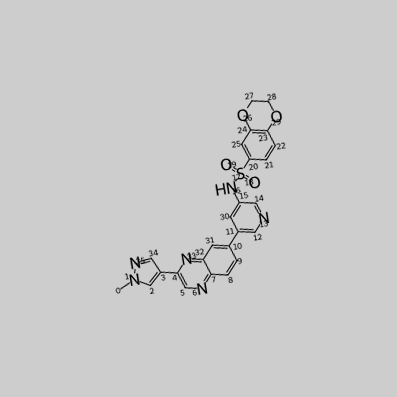 Cn1cc(-c2cnc3ccc(-c4cncc(NS(=O)(=O)c5ccc6c(c5)OCCO6)c4)cc3n2)cn1